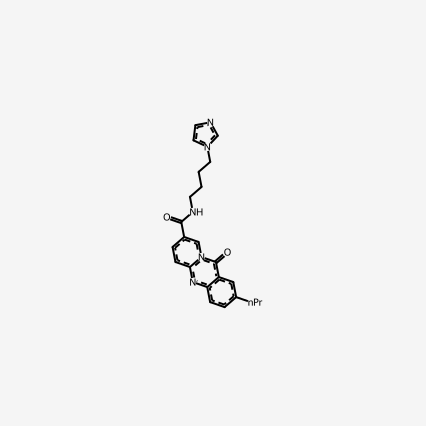 CCCc1ccc2nc3ccc(C(=O)NCCCCn4ccnc4)cn3c(=O)c2c1